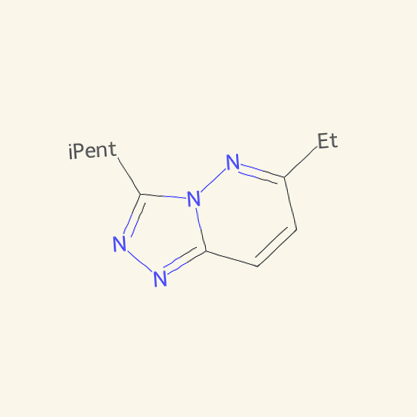 CCCC(C)c1nnc2ccc(CC)nn12